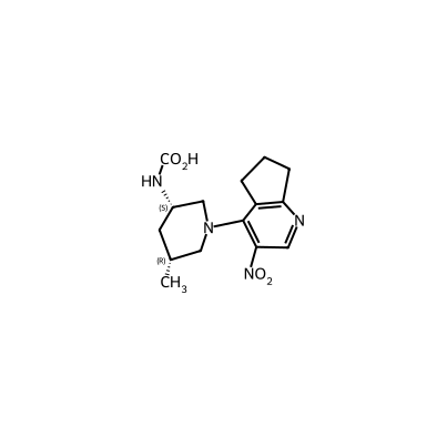 C[C@@H]1C[C@H](NC(=O)O)CN(c2c([N+](=O)[O-])cnc3c2CCC3)C1